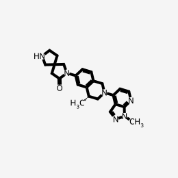 C[C@H]1CN(c2ccnc3c2cnn3C)Cc2ccc(N3CC4(CCNC4)CC3=O)cc21